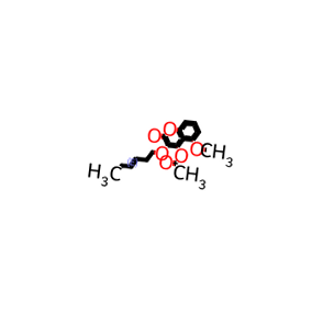 CC/C=C/CCOc1c(OC(C)=O)c2c(OC)cccc2oc1=O